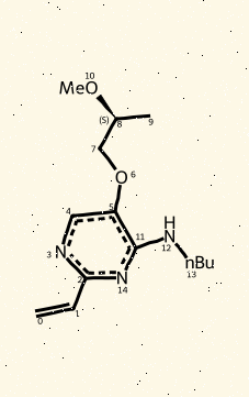 C=Cc1ncc(OC[C@H](C)OC)c(NCCCC)n1